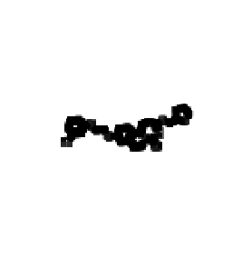 O=C1N=C(OCC2CCCO2)CC=C2c3ccc(OCCOc4cccc(Cl)c4)cc3CCN12